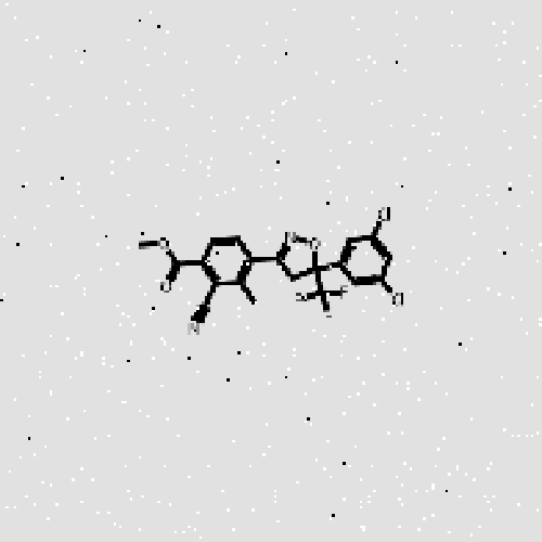 COC(=O)c1ccc(C2=NOC(c3cc(Cl)cc(Cl)c3)(C(F)(F)F)C2)c(C)c1C#N